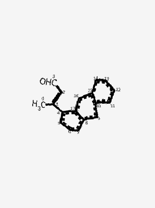 CC(=CC=O)c1cccc2cc3ccccc3cc12